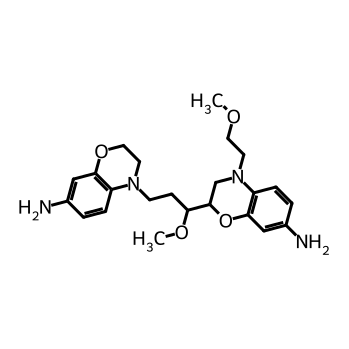 COCCN1CC(C(CCN2CCOc3cc(N)ccc32)OC)Oc2cc(N)ccc21